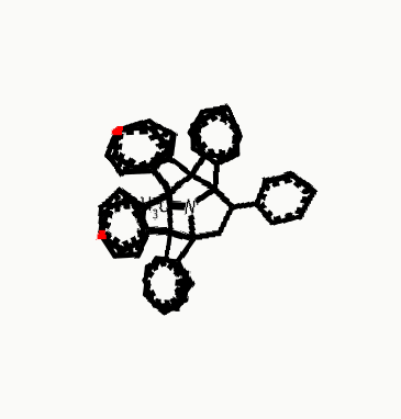 CN1C2(c3ccccc3)CC(c3ccccc3)C1(c1ccccc1)C(c1ccccc1)(c1ccccc1)C(c1ccccc1)(c1ccccc1)C2(c1ccccc1)c1ccccc1